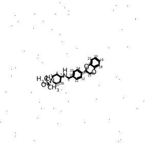 C[SH](C)(=O)N1CCC(NCc2ccc([C@H]3COc4ccccc4O3)cc2)CC1